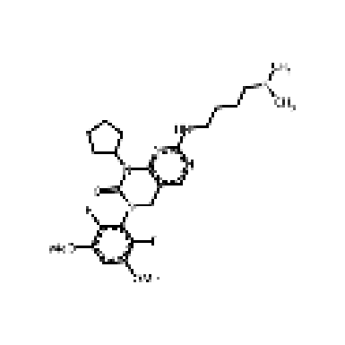 COc1cc(OC)c(F)c(N2Cc3cnc(NCCCCN(C)C)nc3N(C3CCCC3)C2=O)c1F